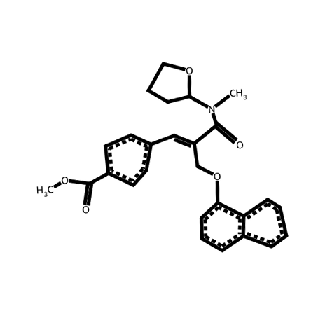 COC(=O)c1ccc(/C=C(\COc2cccc3ccccc23)C(=O)N(C)C2CCCO2)cc1